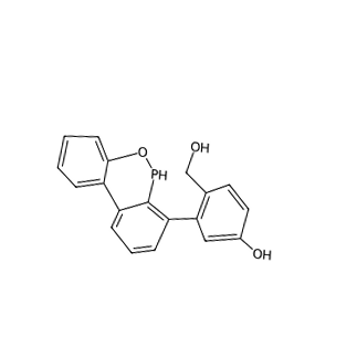 OCc1ccc(O)cc1-c1cccc2c1POc1ccccc1-2